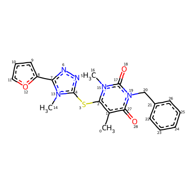 Cc1c(Sc2nnc(-c3ccco3)n2C)n(C)c(=O)n(Cc2ccccc2)c1=O